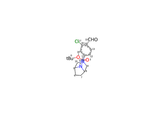 CC(C)(C)OC(=O)N1C2CCC1CN(c1ccc(C=O)c(Cl)c1)C2